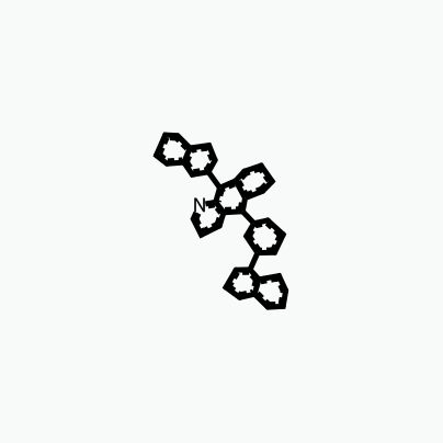 c1cc(-c2cccc3ccccc23)cc(-c2c3ccccc3c(-c3ccc4ccccc4c3)c3ncccc23)c1